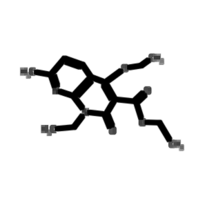 CCOC(=O)c1c(OCC)c2ccc(C)nc2n(CC)c1=O